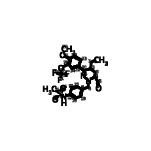 CCC1CC(C=O)N(Cc2ccc(NS(C)(=O)=O)cc2)N=C1c1ccc(OC)c(OC(F)(F)F)c1